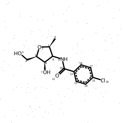 C[C@@H]1O[C@H](CO)[C@H](O)C1NC(=O)c1ccc(Cl)cc1